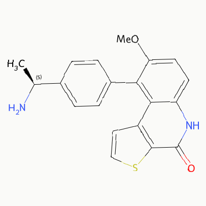 COc1ccc2[nH]c(=O)c3sccc3c2c1-c1ccc([C@H](C)N)cc1